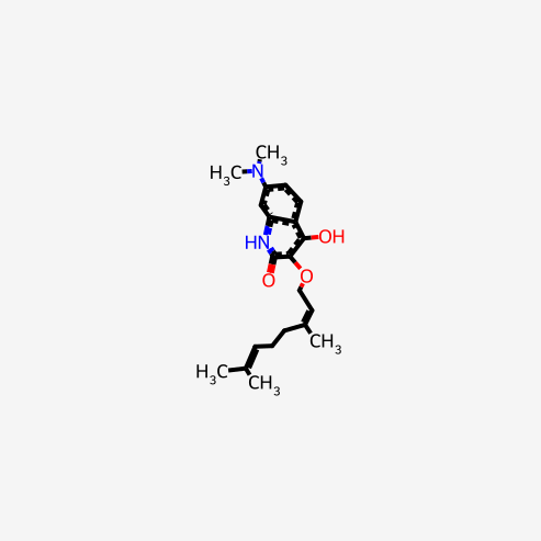 CC(C)=CCCC(C)=CCOc1c(O)c2ccc(N(C)C)cc2[nH]c1=O